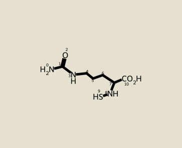 NC(=O)NCCCC(NS)C(=O)O